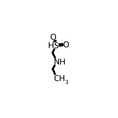 CCNC[SH](=O)=O